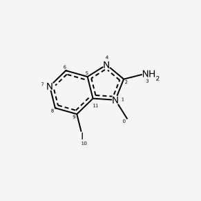 Cn1c(N)nc2cncc(I)c21